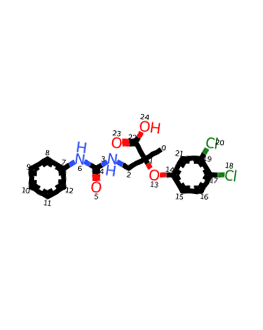 CC(CNC(=O)Nc1ccccc1)(Oc1ccc(Cl)c(Cl)c1)C(=O)O